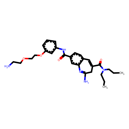 CCCN(CCC)C(=O)C1=Cc2ccc(C(=O)Nc3cccc(OCCOCCN)c3)cc2N=C(N)C1